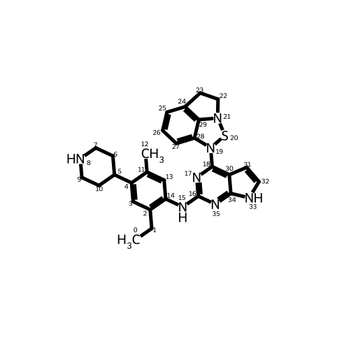 CCc1cc(C2CCNCC2)c(C)cc1Nc1nc(N2SN3CCc4cccc2c43)c2cc[nH]c2n1